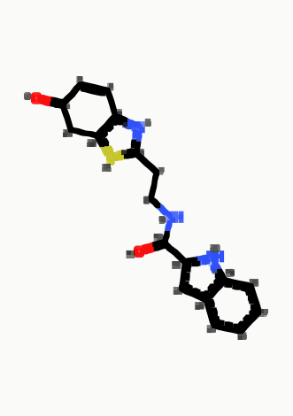 O=C1C=Cc2nc(CCNC(=O)c3cc4ccccc4[nH]3)sc2C1